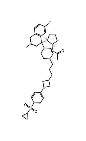 CC(=O)O[C@@H]1CCC[C@H]1C1(C2CCC(CCCC3CN(c4ccc(S(=O)(=O)C5CC5)cc4)C3)CC2)CN(C)Cc2ccc(F)cc21